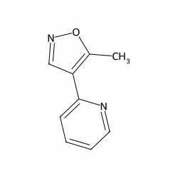 Cc1oncc1-c1ccccn1